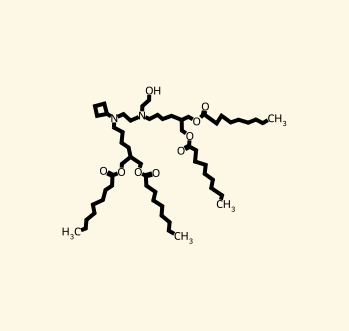 CCCCCCCCC(=O)OCC(CCCCN(CCO)CCN(CCCCC(COC(=O)CCCCCCCC)COC(=O)CCCCCCCC)C1CCC1)COC(=O)CCCCCCCC